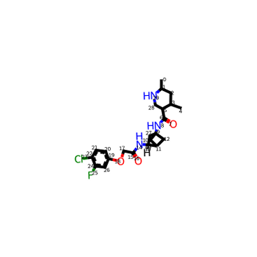 CC1CC(C)C(C(=O)NC23CC(C2)[C@@H](NC(=O)COc2ccc(Cl)c(F)c2)C3)CN1